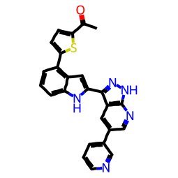 CC(=O)c1ccc(-c2cccc3[nH]c(-c4n[nH]c5ncc(-c6cccnc6)cc45)cc23)s1